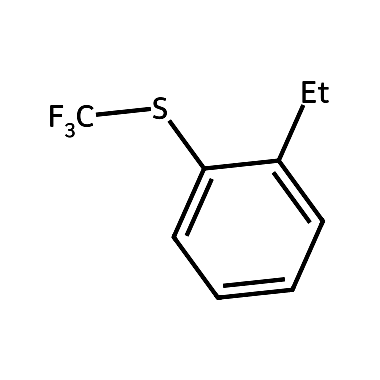 [CH2]Cc1ccccc1SC(F)(F)F